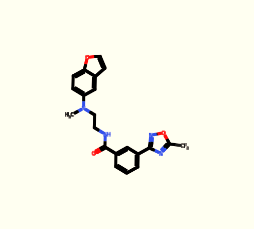 CN(CCNC(=O)c1cccc(-c2noc(C(F)(F)F)n2)c1)c1ccc2occc2c1